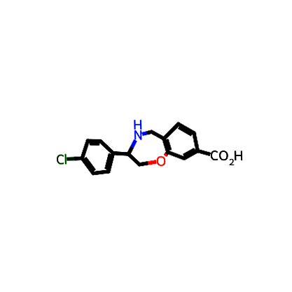 O=C(O)c1ccc2c(c1)OCC(c1ccc(Cl)cc1)NC2